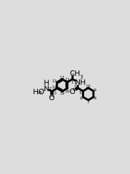 CC(NC(=O)C1CCCCC1)c1ccc(C(=O)NO)cc1